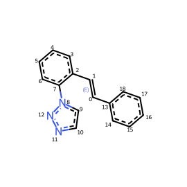 C(=C\c1ccccc1-n1ccnn1)/c1ccccc1